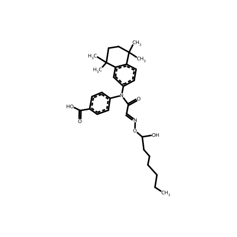 CCCCCCC(O)ON=CC(=O)N(c1ccc(C(=O)O)cc1)c1ccc2c(c1)C(C)(C)CCC2(C)C